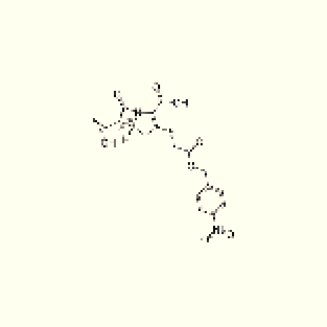 C[C@H](O)[C@H]1C(=O)N2C(C(=O)O)=C(SCC(=O)OCc3ccc([N+](=O)[O-])cc3)C[C@H]12